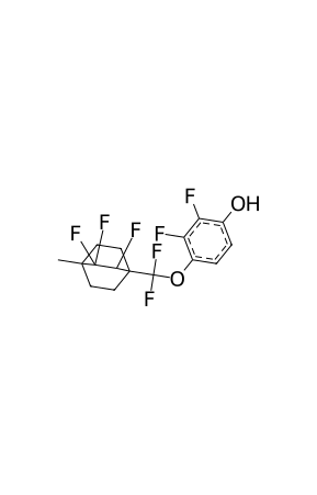 CC12CCC(C(F)(F)Oc3ccc(O)c(F)c3F)(CC1)C(F)C2(F)F